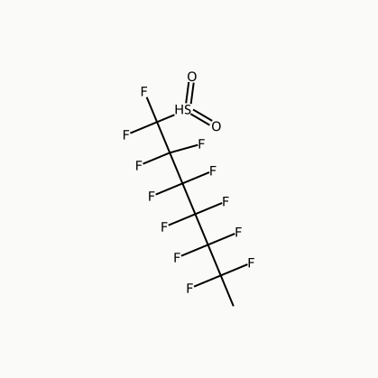 CC(F)(F)C(F)(F)C(F)(F)C(F)(F)C(F)(F)C(F)(F)[SH](=O)=O